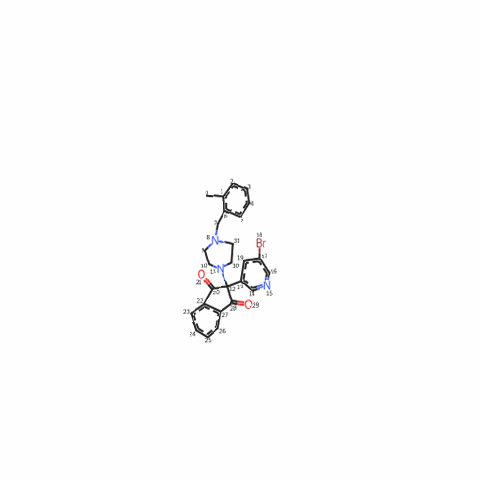 Cc1ccccc1CN1CCN(C2(c3cncc(Br)c3)C(=O)c3ccccc3C2=O)CC1